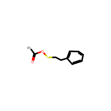 CCC(=O)OSCCc1ccccc1